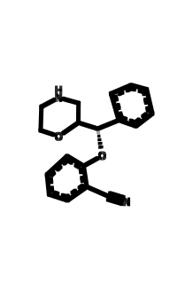 N#Cc1ccccc1O[C@@H](c1ccccc1)C1CNCCO1